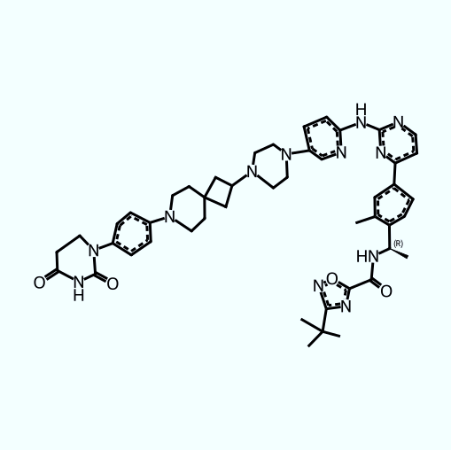 Cc1cc(-c2ccnc(Nc3ccc(N4CCN(C5CC6(CCN(c7ccc(N8CCC(=O)NC8=O)cc7)CC6)C5)CC4)cn3)n2)ccc1[C@@H](C)NC(=O)c1nc(C(C)(C)C)no1